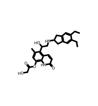 CCc1cc2c(cc1CC)CC(NCC(O)c1c(C)cc(OC(=O)CO)c3[nH]c(=O)ccc13)C2